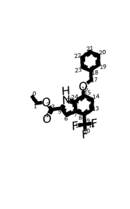 CCOC(=O)c1cc2c(C(F)(F)F)ccc(OCc3ccccc3)c2[nH]1